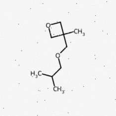 CC(C)COCC1(C)COC1